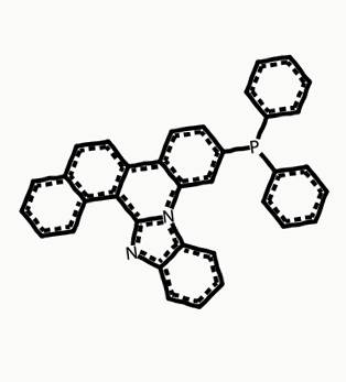 c1ccc(P(c2ccccc2)c2ccc3c4ccc5ccccc5c4c4nc5ccccc5n4c3c2)cc1